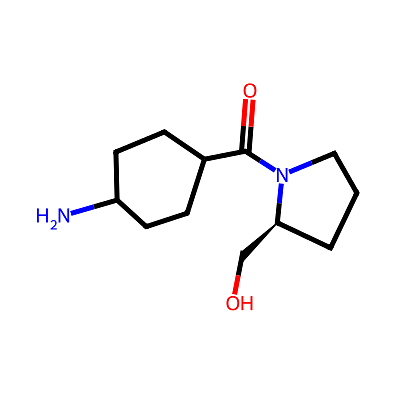 NC1CCC(C(=O)N2CCC[C@H]2CO)CC1